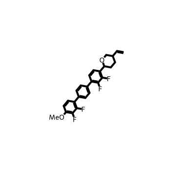 C=CC1CCC(c2ccc(-c3ccc(-c4ccc(OC)c(F)c4F)cc3)c(F)c2F)OC1